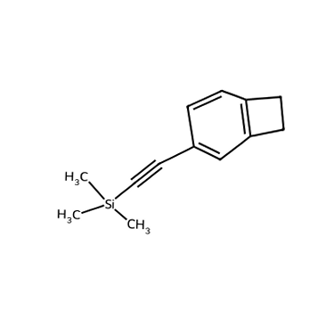 C[Si](C)(C)C#Cc1ccc2c(c1)CC2